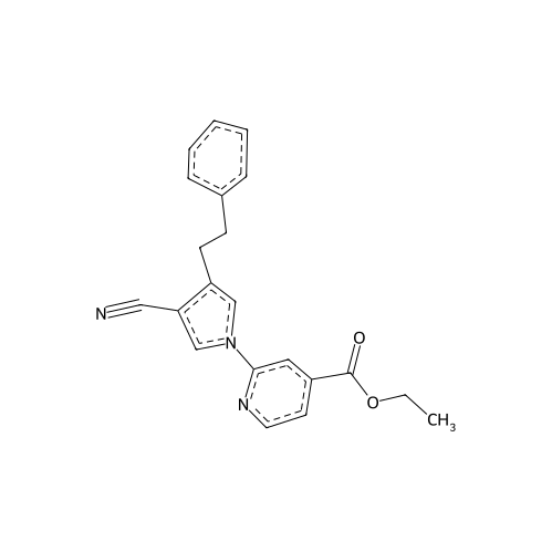 CCOC(=O)c1ccnc(-n2cc(C#N)c(CCc3ccccc3)c2)c1